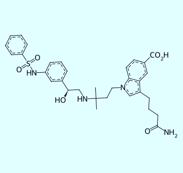 CC(C)(CCn1cc(CCCC(N)=O)c2cc(C(=O)O)ccc21)NC[C@@H](O)c1cccc(NS(=O)(=O)c2ccccc2)c1